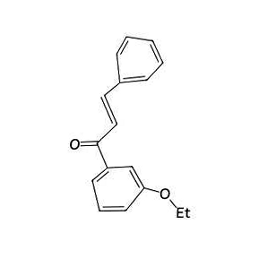 CCOc1cccc(C(=O)C=Cc2ccccc2)c1